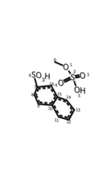 COS(=O)(=O)O.O=S(=O)(O)c1ccc2ccccc2c1